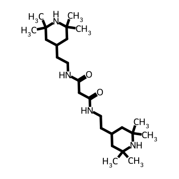 CC1(C)CC(CCNC(=O)CC(=O)NCCC2CC(C)(C)NC(C)(C)C2)CC(C)(C)N1